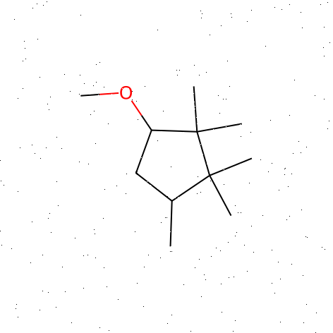 COC1CC(C)C(C)(C)C1(C)C